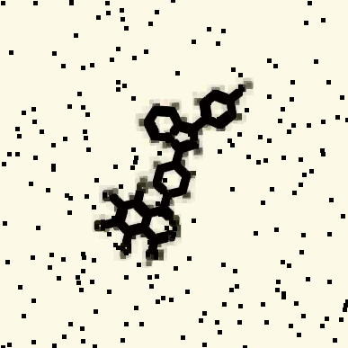 O=C(O)c1c(Cl)c(Cl)c(Cl)c(Cl)c1C(=O)N1CCC(c2nc(-c3ccc(F)cc3)c3ccccn23)CC1